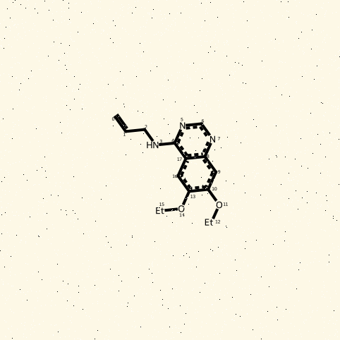 C=CCNc1ncnc2cc(OCC)c(OCC)cc12